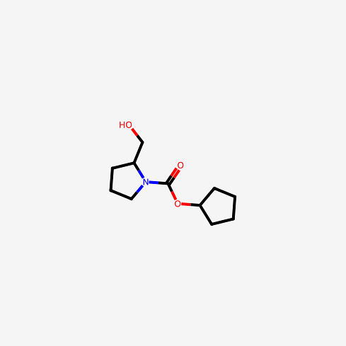 O=C(OC1CCCC1)N1CCCC1CO